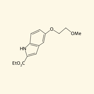 CCOC(=O)c1cc2cc(OCCOC)ccc2[nH]1